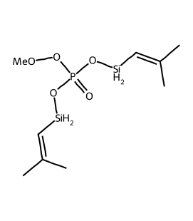 COOP(=O)(O[SiH2]C=C(C)C)O[SiH2]C=C(C)C